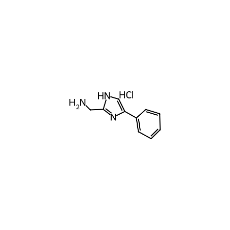 Cl.NCc1nc(-c2ccccc2)c[nH]1